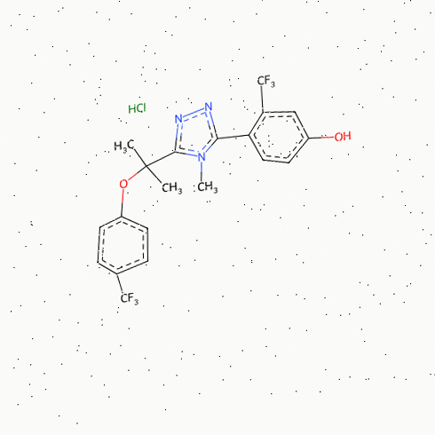 Cl.Cn1c(-c2ccc(O)cc2C(F)(F)F)nnc1C(C)(C)Oc1ccc(C(F)(F)F)cc1